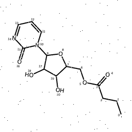 CCCC(=O)OCC1OC(n2cccnc2=O)C(O)C1O